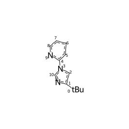 CC(C)(C)c1cn(-c2ccccn2)cn1